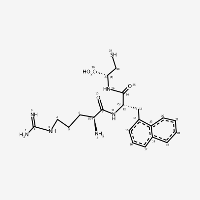 N=C(N)NCCC[C@H](N)C(=O)N[C@@H](Cc1cccc2ccccc12)C(=O)N[C@@H](CS)C(=O)O